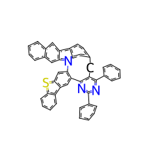 c1ccc(-c2nc(-c3ccccc3)c3c(n2)-c2cc4c(cc2-n2c5cc(ccc5c5cc6ccccc6cc52)C3)sc2ccccc24)cc1